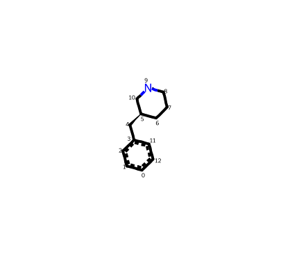 c1ccc(C[C@@H]2CCC[N]C2)cc1